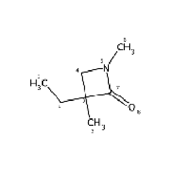 CCC1(C)CN(C)C1=O